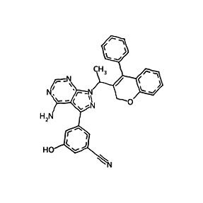 CC(C1=C(c2ccccc2)c2ccccc2OC1)n1nc(-c2cc(O)cc(C#N)c2)c2c(N)ncnc21